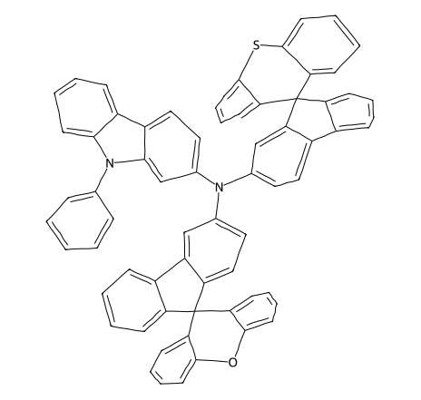 c1ccc(-n2c3ccccc3c3ccc(N(c4ccc5c(c4)-c4ccccc4C54c5ccccc5Oc5ccccc54)c4ccc5c(c4)C4(c6ccccc6Sc6ccccc64)c4ccccc4-5)cc32)cc1